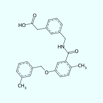 Cc1cccc(COc2ccc(C)c(C(=O)NCc3cccc(CC(=O)O)c3)c2)c1